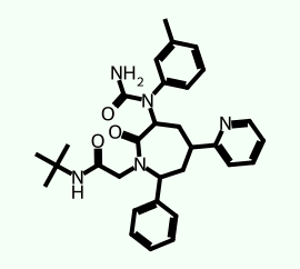 Cc1cccc(N(C(N)=O)C2CC(c3ccccn3)CC(c3ccccc3)N(CC(=O)NC(C)(C)C)C2=O)c1